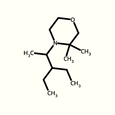 CCC(CC)C(C)N1CCOCC1(C)C